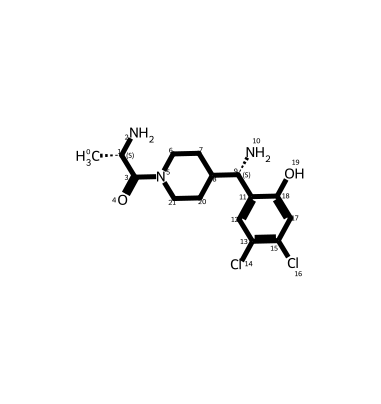 C[C@H](N)C(=O)N1CCC([C@H](N)c2cc(Cl)c(Cl)cc2O)CC1